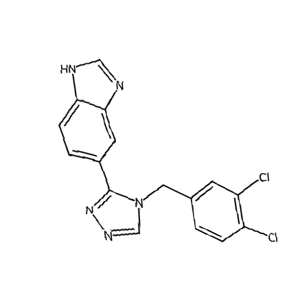 Clc1ccc(Cn2cnnc2-c2ccc3[nH]cnc3c2)cc1Cl